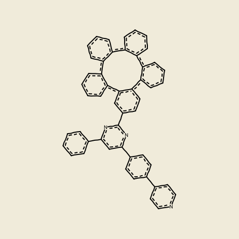 c1ccc(-c2cc(-c3ccc(-c4ccncc4)cc3)nc(-c3ccc4c5ccccc5c5ccccc5c5ccccc5c5ccccc5c4c3)n2)cc1